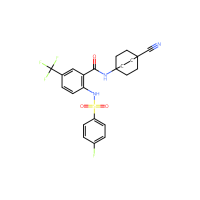 N#CC12CCC(NC(=O)c3cc(C(F)(F)F)ccc3NS(=O)(=O)c3ccc(F)cc3)(CC1)CC2